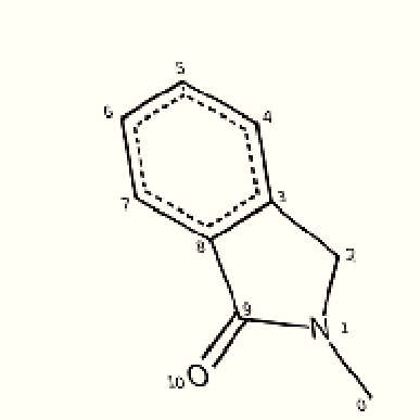 CN1Cc2c[c]ccc2C1=O